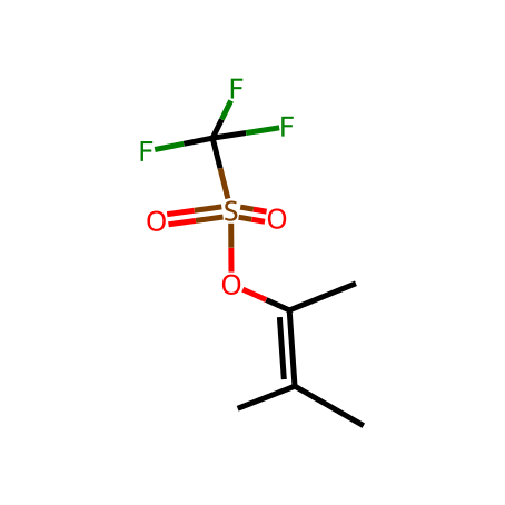 CC(C)=C(C)OS(=O)(=O)C(F)(F)F